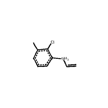 C=C[SiH2]c1cccc(C)c1Cl